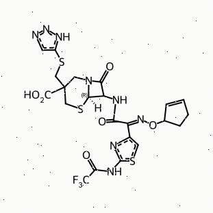 O=C(NC1C(=O)N2CC(CSc3cnn[nH]3)(C(=O)O)CS[C@H]12)C(=NOC1C=CCC1)c1csc(NC(=O)C(F)(F)F)n1